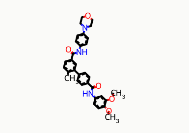 COc1ccc(NC(=O)c2ccc(-c3cc(C(=O)Nc4ccc(N5CCOCC5)cc4)ccc3C)cc2)cc1OC